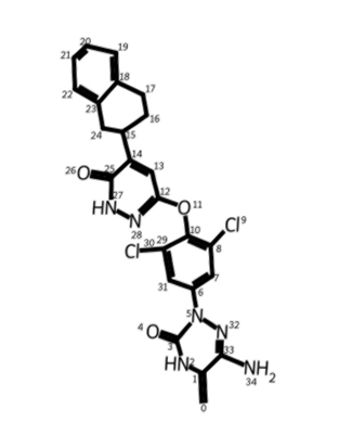 C=C1NC(=O)N(c2cc(Cl)c(Oc3cc(C4CCc5ccccc5C4)c(=O)[nH]n3)c(Cl)c2)N=C1N